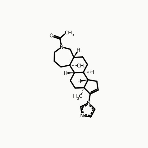 CC(=O)N1CCC[C@@]2(C)[C@@H](CC[C@@H]3[C@@H]2CC[C@]2(C)C(n4ccnc4)=CC[C@@H]32)C1